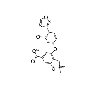 CC1(C)Cc2c(Oc3ccc(-c4ncon4)c(Cl)c3)cc(C(=O)O)cc2O1